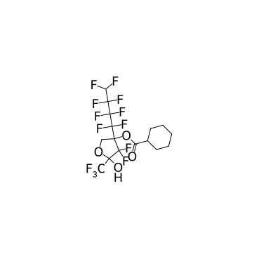 O=C(OC1(C(F)(F)C(F)(F)C(F)(F)C(F)F)COC(O)(C(F)(F)F)C1(F)F)C1CCCCC1